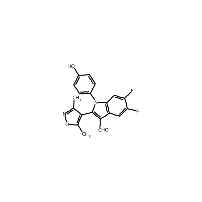 Cc1noc(C)c1-c1c(C=O)c2cc(F)c(F)cc2n1-c1ccc(O)cc1